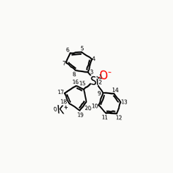 [K+].[O-][Si](c1ccccc1)(c1ccccc1)c1ccccc1